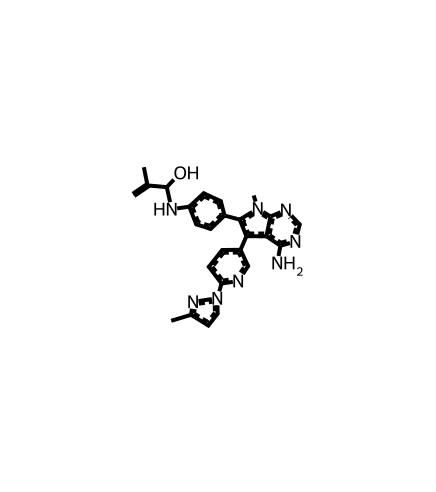 C=C(C)C(O)Nc1ccc(-c2c(-c3ccc(-n4ccc(C)n4)nc3)c3c(N)ncnc3n2C)cc1